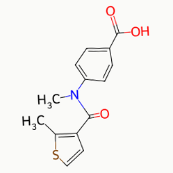 Cc1sccc1C(=O)N(C)c1ccc(C(=O)O)cc1